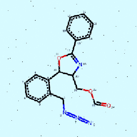 [N-]=[N+]=NCc1ccccc1C1OC(c2ccccc2)=NC1COC=O